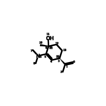 C=C(C)[C@@H]1C=C(N(C)C)[C@](C)(O)CC1